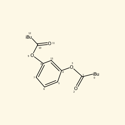 CCC(C)C(=O)Oc1cccc(OC(=O)C(C)CC)c1